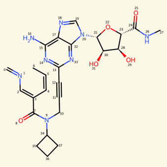 C=N/C=C(\C=C/C)C(=O)N(CC#Cc1nc(N)c2ncn([C@@H]3O[C@H](C(=O)NC)[C@@H](O)[C@H]3O)c2n1)C1CCC1